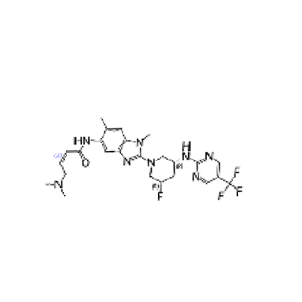 Cc1cc2c(cc1NC(=O)/C=C\CN(C)C)nc(N1C[C@H](F)C[C@@H](Nc3ncc(C(F)(F)F)cn3)C1)n2C